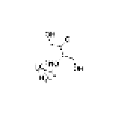 C.C.C.C.OCC(O)C(O)CO